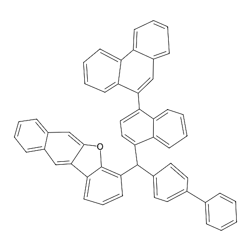 c1ccc(-c2ccc(C(c3ccc(-c4cc5ccccc5c5ccccc45)c4ccccc34)c3cccc4c3oc3cc5ccccc5cc34)cc2)cc1